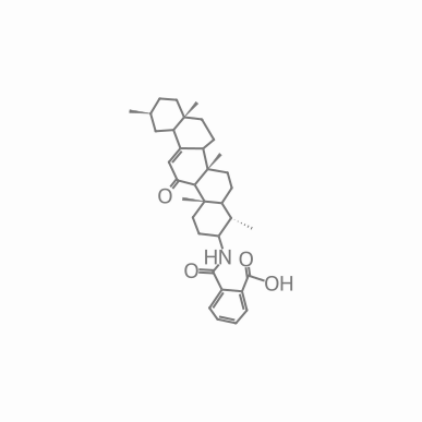 C[C@H]1CC[C@]2(C)CCC3C(=CC(=O)C4[C@@]3(C)CCC3[C@H](C)C(NC(=O)c5ccccc5C(=O)O)CC[C@@]34C)C2C1